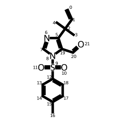 C=CC(C)(C)c1ncn(S(=O)(=O)c2ccc(C)cc2)c1C=O